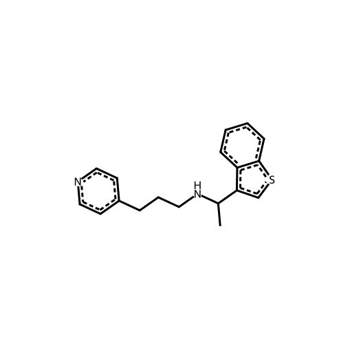 CC(NCCCc1ccncc1)c1csc2ccccc12